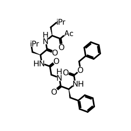 CC(=O)C(=O)[C@H](CC(C)C)NC(=O)[C@H](CC(C)C)NC(=O)CNC(=O)[C@H](Cc1ccccc1)NC(=O)OCc1ccccc1